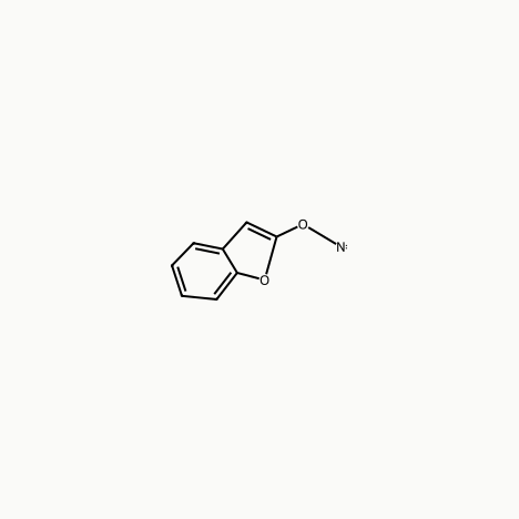 [N]Oc1cc2ccccc2o1